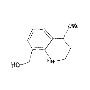 COC1CCNc2c(CO)cccc21